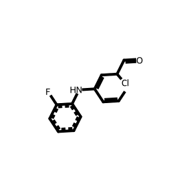 C/C=C\C(=C/C(Cl)C=O)Nc1ccccc1F